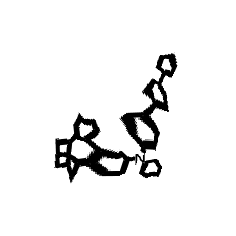 c1ccc(-c2ccc(-c3ccc(N(c4ccccc4)c4ccc5c(c4)-c4ccccc4C4CC6CC7CC5C674)cc3)cc2)cc1